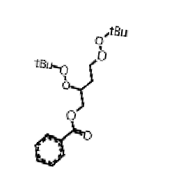 CC(C)(C)OOCCC(COC(=O)c1ccccc1)OOC(C)(C)C